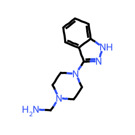 NCN1CCN(c2n[nH]c3ccccc23)CC1